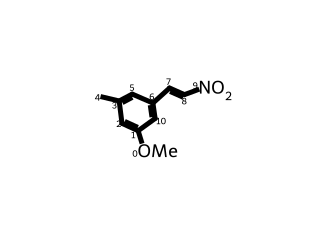 COc1cc(C)cc(C=C[N+](=O)[O-])c1